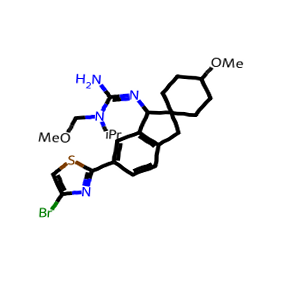 COCN(/C(N)=N\C1c2cc(-c3nc(Br)cs3)ccc2CC12CCC(OC)CC2)C(C)C